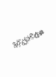 Cc1c(C2CN3CCN(C(=O)Cc4cnc(-n5cnnn5)nc4)CC3CCO2)ccc2c1COC2=O